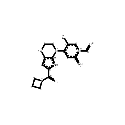 N=c1cc(N2CCOc3cc(C(=O)N4CCC4)[nH]c32)c(Cl)cn1C=O